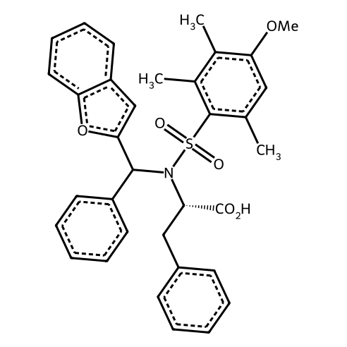 COc1cc(C)c(S(=O)(=O)N(C(c2ccccc2)c2cc3ccccc3o2)[C@@H](Cc2ccccc2)C(=O)O)c(C)c1C